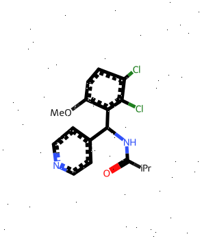 COc1ccc(Cl)c(Cl)c1C(NC(=O)C(C)C)c1ccncc1